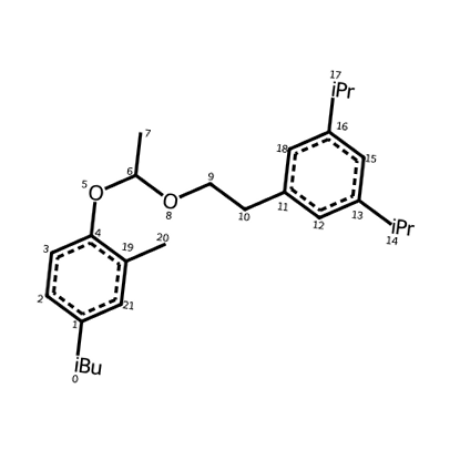 CCC(C)c1ccc(OC(C)OCCc2cc(C(C)C)cc(C(C)C)c2)c(C)c1